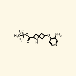 CC(C)(C)OC(=O)C1CC2(CC(Oc3ccncc3N)C2)N1